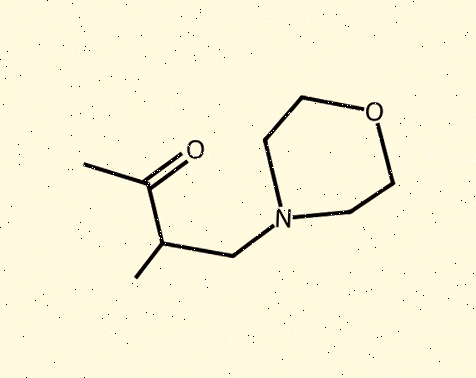 CC(=O)C(C)CN1CCOCC1